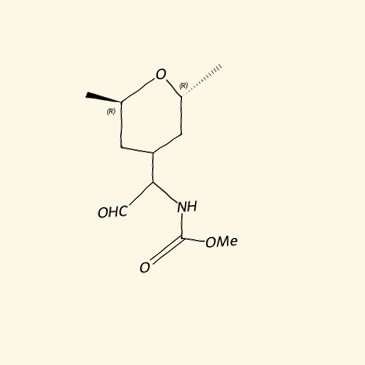 COC(=O)NC(C=O)C1C[C@@H](C)O[C@H](C)C1